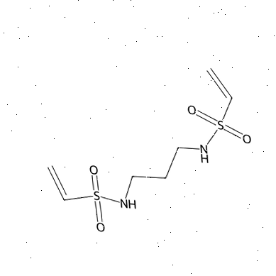 C=CS(=O)(=O)NCCCNS(=O)(=O)C=C